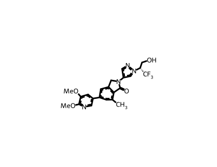 COc1cc(-c2cc(C)c3c(c2)CN(c2cnn([C@H](CO)C(F)(F)F)c2)C3=O)cnc1OC